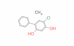 C.Oc1cc(O)c(-c2ccccc2)cc1Cl